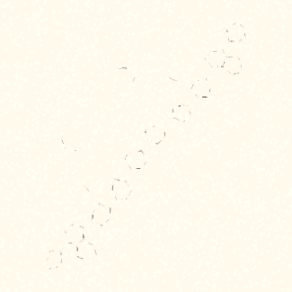 C=CC(=O)OCCCC1(C=C)c2cc(-c3ccc4c(c3)C(C)(C)c3cc(-c5ccc6c(c5)C(C=C)(CCCOC(=O)C=C)c5cc(-c7ccc8c9c(cccc79)-c7ccccc7-8)ccc5-6)ccc3-4)ccc2-c2ccc(-c3ccc4c5c(cccc35)-c3ccccc3-4)cc21